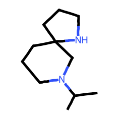 CC(C)N1CCCC2(CCCN2)C1